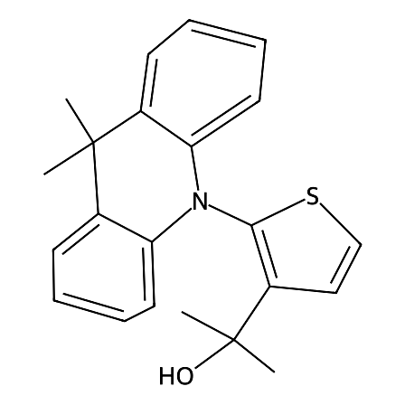 CC(C)(O)c1ccsc1N1c2ccccc2C(C)(C)c2ccccc21